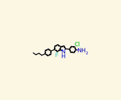 CCCCc1ccc(-c2ccc3cc(-c4ccc(N)c(Cl)c4)[nH]c3c2F)cc1